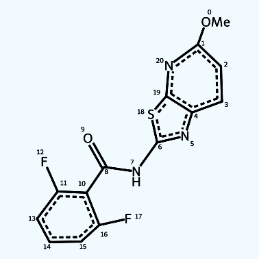 COc1ccc2nc(NC(=O)c3c(F)cccc3F)sc2n1